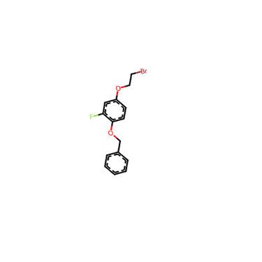 Fc1cc(OCCBr)ccc1OCc1ccccc1